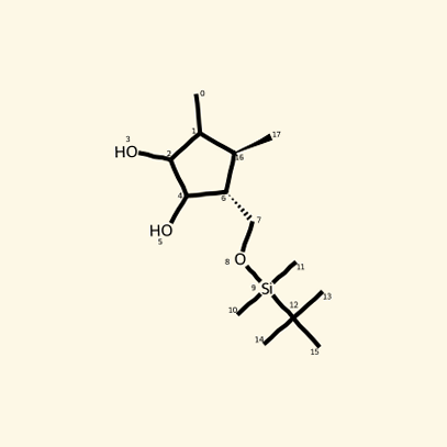 CC1C(O)C(O)[C@@H](CO[Si](C)(C)C(C)(C)C)[C@@H]1C